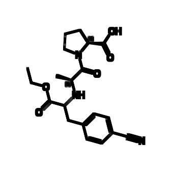 CCOC(=O)C(Cc1ccc(C#N)cc1)N[C@@H](C)C(=O)N1CCC[C@H]1C(=O)O